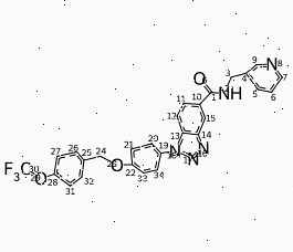 O=C(NCc1cccnc1)c1ccc2c(c1)nnn2-c1ccc(OCc2ccc(OC(F)(F)F)cc2)cc1